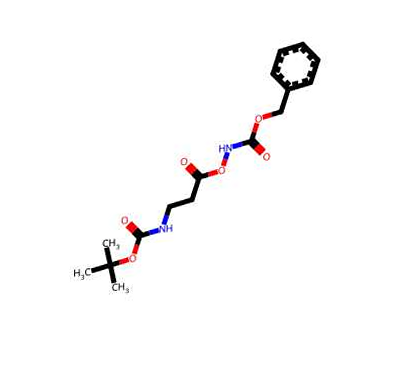 CC(C)(C)OC(=O)NCCC(=O)ONC(=O)OCc1ccccc1